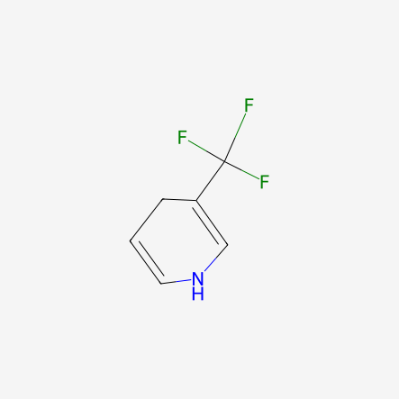 FC(F)(F)C1=CNC=CC1